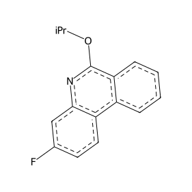 CC(C)Oc1nc2cc(F)ccc2c2ccccc12